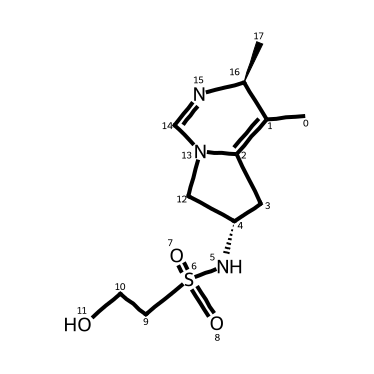 CC1=C2C[C@H](NS(=O)(=O)CCO)CN2C=N[C@H]1C